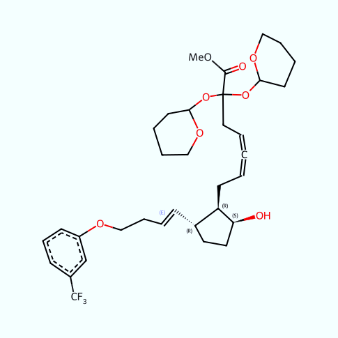 COC(=O)C(CC=C=CC[C@H]1[C@@H](O)CC[C@@H]1/C=C/CCOc1cccc(C(F)(F)F)c1)(OC1CCCCO1)OC1CCCCO1